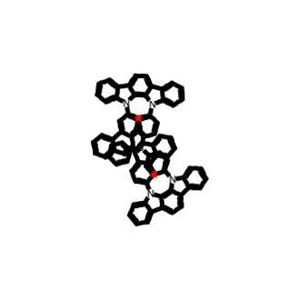 c1ccc(B(c2ccc(-n3c4ccccc4c4ccc5c6ccccc6n(-c6ccc7ccc8ccccc8c7c6)c5c43)cc2)c2ccc(-n3c4ccccc4c4ccc5c6ccccc6n(-c6ccc7ccc8ccccc8c7c6)c5c43)cc2)cc1